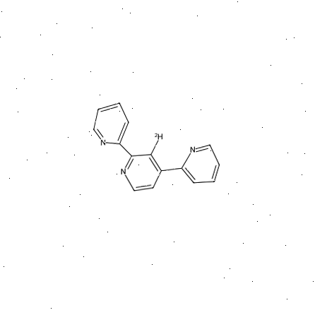 [2H]c1c(-c2ccccn2)ccnc1-c1ccccn1